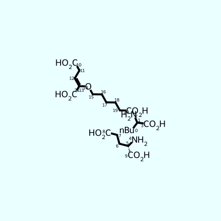 CCCCC(N)C(=O)O.N[C@@H](CCC(=O)O)C(=O)O.O=C(O)CC=C(OCCCCCC(=O)O)C(=O)O